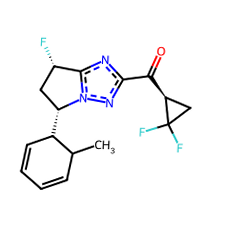 CC1C=CC=CC1[C@@H]1C[C@H](F)c2nc(C(=O)[C@H]3CC3(F)F)nn21